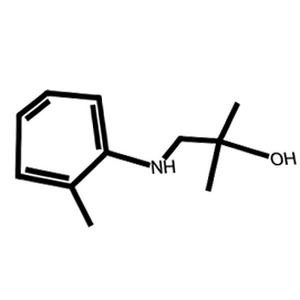 Cc1ccccc1NCC(C)(C)O